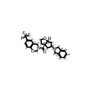 O=C(N1COc2ccc(C(F)(F)F)cc2C1)[C@@]12CCO[C@@H]1C[C@@H](N1Cc3ccccc3C1)C2